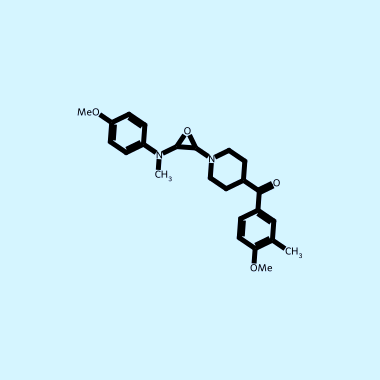 COc1ccc(N(C)C2OC2N2CCC(C(=O)c3ccc(OC)c(C)c3)CC2)cc1